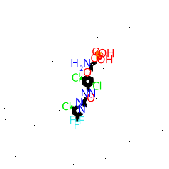 NC(COc1cc(Cl)c(-c2noc(-c3cn4cc(C(F)(F)F)cc(Cl)c4n3)n2)cc1Cl)COP(=O)(O)O